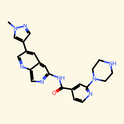 Cn1cc(-c2cnc3cnc(NC(=O)c4ccnc(N5CCNCC5)c4)cc3c2)cn1